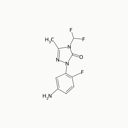 Cc1nn(-c2cc(N)ccc2F)c(=O)n1C(F)F